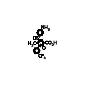 Cc1c([S+]([O-])c2ccc(N)cc2)cc(C(=O)O)c(=O)n1-c1cccc(C(F)(F)F)c1